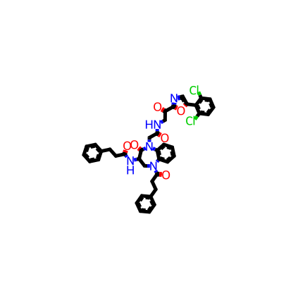 O=C(CN1C(=O)C(NC(=O)CCc2ccccc2)CN(C(=O)CCc2ccccc2)c2ccccc21)NCC(=O)c1ncc(-c2c(Cl)cccc2Cl)o1